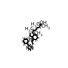 C[C@H](CCCC(C)(C)O)[C@H]1CC[C@H]2/C(=C/Cn3nnnc3-c3ccccc3)CCC[C@]12C